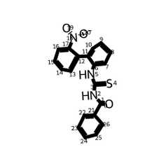 O=C(NC(=S)Nc1ccccc1-c1ccccc1[N+](=O)[O-])c1ccccc1